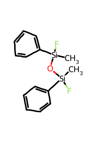 C[Si](F)(O[Si](C)(F)c1ccccc1)c1ccccc1